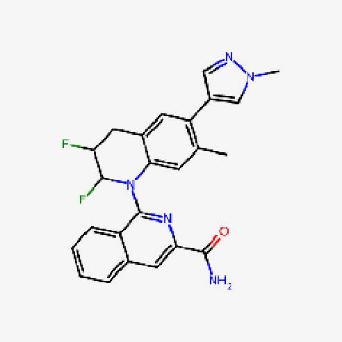 Cc1cc2c(cc1-c1cnn(C)c1)CC(F)C(F)N2c1nc(C(N)=O)cc2ccccc12